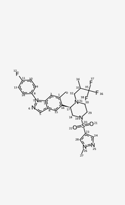 Cc1cc2c(cnn2-c2ccc(F)cc2)cc1[C@@H]1CN(S(=O)(=O)c2cnn(C)c2)CCN1CC(C)C(F)(F)F